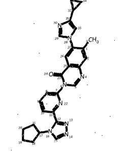 Cc1cc2ncn(-c3cccc(-c4nncn4C4CCCC4)n3)c(=O)c2cc1-n1cnc(C2CC2)c1